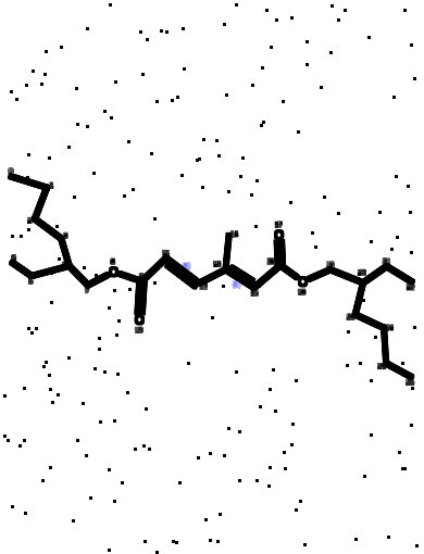 CCCCC(CC)COC(=O)/C=C/C(C)=C/C(=O)OCC(CC)CCCC